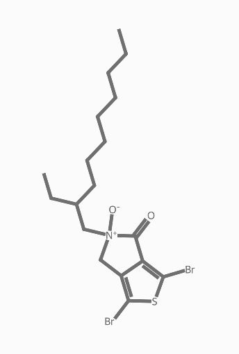 CCCCCCCCC(CC)C[N+]1([O-])Cc2c(Br)sc(Br)c2C1=O